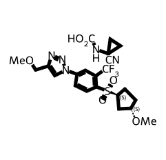 COCc1cn(-c2ccc(S(=O)(=O)[C@H]3CC[C@H](OC)C3)c(C(F)(F)F)c2)nn1.N#CC1(NC(=O)O)CC1